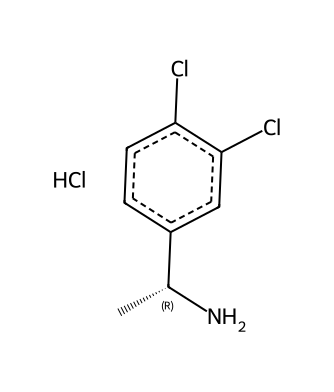 C[C@@H](N)c1ccc(Cl)c(Cl)c1.Cl